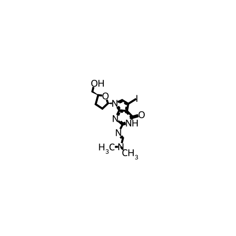 CN(C)/C=N/c1nc2c(c(I)cn2[C@H]2CC[C@@H](CO)O2)c(=O)[nH]1